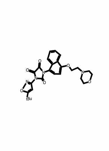 CC(C)(C)c1cc(N2C(=O)C(=O)N(c3ccc(OCCN4CCOCC4)c4ccccc34)C2=O)no1